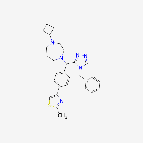 Cc1nc(-c2ccc(C(c3nncn3Cc3ccccc3)N3CCCN(C4CCC4)CC3)cc2)cs1